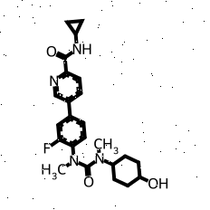 CN(C(=O)N(C)C1CCC(O)CC1)c1ccc(-c2ccc(C(=O)NC3CC3)nc2)cc1F